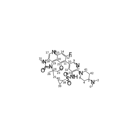 CN(C)C1CCN(c2ncc(-c3c(F)cc4ncc5c6c4c3OCC(C)(C)n6c(=O)n5C)cc2NS(=O)(=O)C2CC2)CC1